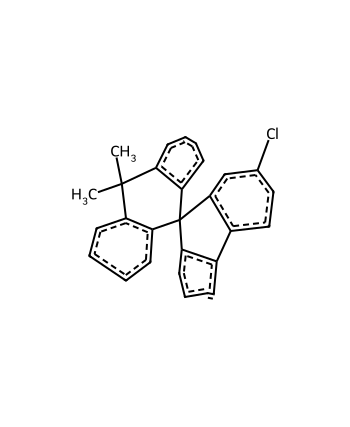 CC1(C)c2ccccc2C2(c3ccccc3-c3ccc(Cl)cc32)c2ccccc21